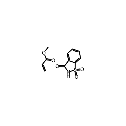 C=CC(=O)OC.O=C1NS(=O)(=O)c2ccccc21